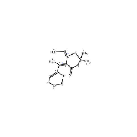 C/N=C1/CC(C)(C)CC(=O)/C1=C(/C)C1=CCOCC1